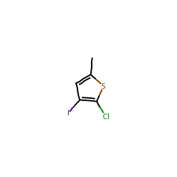 Cc1cc(I)c(Cl)s1